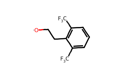 [O]CCc1c(C(F)(F)F)cccc1C(F)(F)F